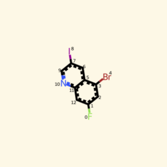 Fc1cc(Br)c2cc(I)cnc2c1